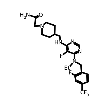 CCN(Cc1ccc(C(F)(F)F)cc1F)c1ncnc(NCC2CCN(CC(N)=O)CC2)c1F